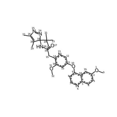 COc1ccc2nccc(Oc3cnc(CC(=O)NC4(C(C)(C)C)N=NC(C)=C4C)c(OC)c3)c2c1